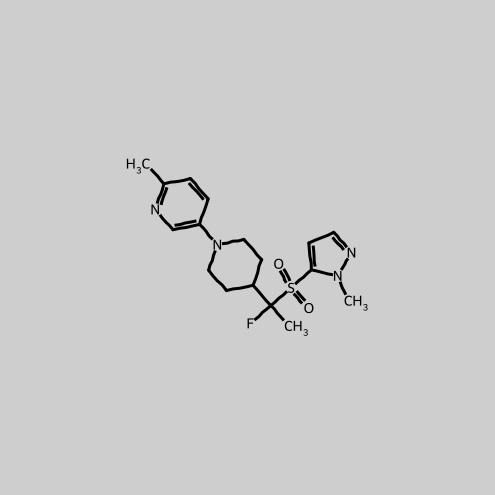 Cc1ccc(N2CCC(C(C)(F)S(=O)(=O)c3ccnn3C)CC2)cn1